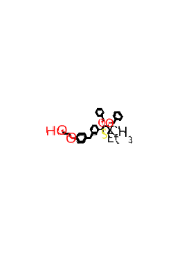 CC[C@H]1S[C@@H](c2cccc(Cc3ccc(OCCO)cc3)c2)[C@H](OCc2ccccc2)[C@@H](OCc2ccccc2)[C@@H]1C